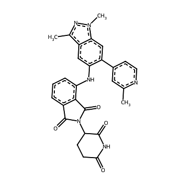 Cc1cc(-c2cc3c(cc2Nc2cccc4c2C(=O)N(C2CCC(=O)NC2=O)C4=O)c(C)nn3C)ccn1